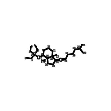 CC[Si](CC)(CC)OC1CCCC2(C)C(=C=CCCCC(C)C)CC[C@@H]12